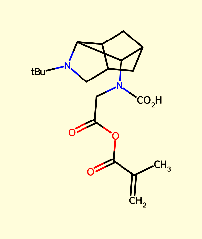 C=C(C)C(=O)OC(=O)CN(C(=O)O)C1C2CC3CN(C(C)(C)C)C1C3C2